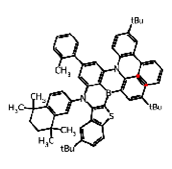 Cc1ccccc1-c1cc2c3c(c1)N(c1ccc4c(c1)C(C)(C)CCC4(C)C)c1c(sc4ccc(C(C)(C)C)cc14)B3c1cc(C(C)(C)C)ccc1N2c1ccc(C(C)(C)C)cc1-c1ccccc1